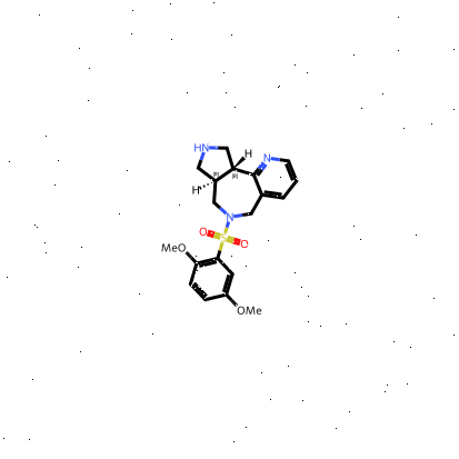 COc1ccc(OC)c(S(=O)(=O)N2Cc3cccnc3[C@H]3CNC[C@@H]3C2)c1